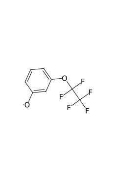 [O]c1cccc(OC(F)(F)C(F)(F)F)c1